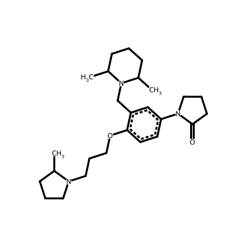 CC1CCCN1CCCOc1ccc(N2CCCC2=O)cc1CN1C(C)CCCC1C